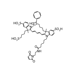 CC1(CCCCS(=O)(=O)O)C(/C=C/C=C/C=C2/N(CCCCCC(=O)NCCN3C(=O)C=CC3=O)c3ccc(S(=O)(=O)O)cc3C2(C)CCCCS(=O)(=O)O)=[N+](CCCC2=C/C=C\C=C/C=C\2)c2ccc(S(=O)(=O)O)cc21